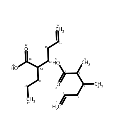 C=CCC(C)C(C)C(=O)O.C=CCCC(CCC)C(=O)O